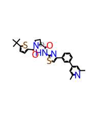 Cc1cc(-c2cccc(-c3csc(NC(=O)[C@@H]4CCN4C(=O)c4ccc(C(C)(C)C)s4)n3)c2)cc(C)n1